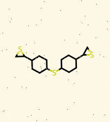 C1CC(C2CS2)CCC1SC1CCC(C2CS2)CC1